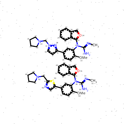 CN=C(N)N(c1cc(-c2ccn(CN3CCCC3)n2)ccc1OC)c1occ2ccccc12.CN=C(N)N(c1cc(-c2cnc(CN3CCCC3)s2)ccc1OC)c1occ2ccccc12